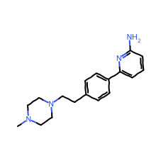 CN1CCN(CCc2ccc(-c3cccc(N)n3)cc2)CC1